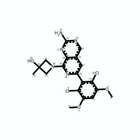 COc1cc(OC)c(Cl)c(-c2cc3cnc(N)nc3c(N3CC(C)(O)C3)n2)c1Cl